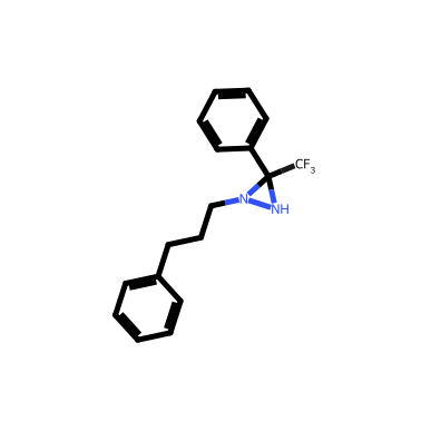 FC(F)(F)C1(c2ccccc2)NN1CCCc1ccccc1